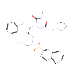 CC(C)CC(=O)N(NC(=O)CN1CCCC1)[C@@H](Cc1ccccc1)[C@H](O)CN(CC(C)C)S(=O)(=O)c1ccc2ccccc2c1